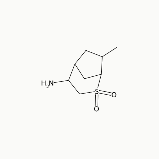 CC1CC2CC1S(=O)(=O)CC2N